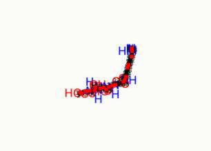 CC(C)(O)CCOCCNC(=O)CCC(COO)NC(=O)CCC(NC(=O)CCCNC(=O)CCCS(=O)(=O)NC(=O)CCCCCCCCCCCCCCCc1nnn[nH]1)C(=O)O